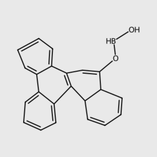 OBOC1=Cc2c(c3ccccc3c3ccccc23)C2C=CC=CC12